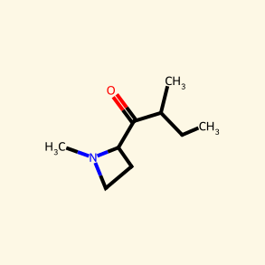 CCC(C)C(=O)C1CCN1C